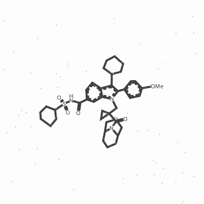 COc1ccc(-c2c(C3CCCCC3)c3ccc(C(=O)NS(=O)(=O)C4CCCCC4)cc3n2CC2(C(=O)N3C4CCCC3COC4)CC2)cc1